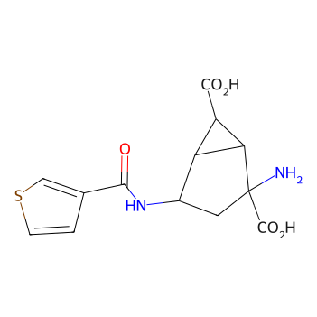 NC1(C(=O)O)CC(NC(=O)c2ccsc2)C2C(C(=O)O)C21